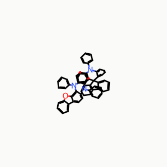 C1=CC2=C(CC1)c1ccccc1C21c2ccccc2N(c2ccccc2)c2ccc(N(c3ccccc3)c3c(N(c4ccccc4)c4ccccc4)ccc4c3oc3ccccc34)cc21